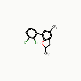 [CH2]C1Cc2cc(C(F)(F)F)cc(-c3cccc(Cl)c3Cl)c2O1